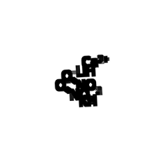 O=[N+]([O-])[O-].O=[N+]([O-])[O-].[Ca+2].[KH].[LiH]